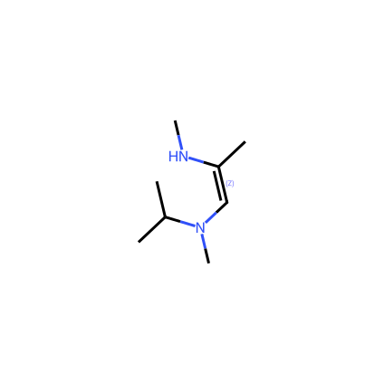 CN/C(C)=C\N(C)C(C)C